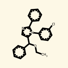 CCOC(c1ccccc1)c1cnc(-c2ccccc2)n1-c1cccc(Cl)c1